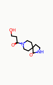 O=C(CCO)N1CCC2(CCNC2=O)CC1